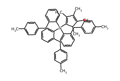 CC1=C(C)C(C)C([Si](c2ccccc2Cc2ccc(C)cc2)(c2ccccc2Cc2ccc(C)cc2)c2ccccc2Cc2ccc(C)cc2)=C1C